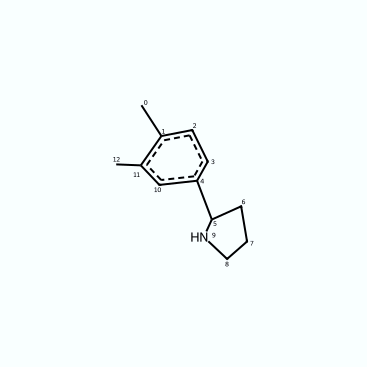 Cc1ccc(C2CCCN2)cc1C